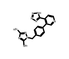 CCCc1nc(CCC)n(Cc2ccc(-c3cnccc3-c3nnn[nH]3)cc2)n1